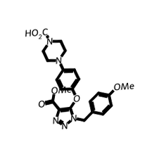 COC(=O)c1nnn(Cc2ccc(OC)cc2)c1Oc1ccc(N2CCN(C(=O)O)CC2)cc1